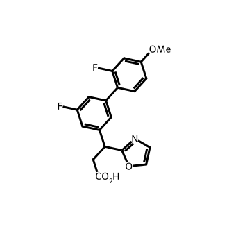 COc1ccc(-c2cc(F)cc(C(CC(=O)O)c3ncco3)c2)c(F)c1